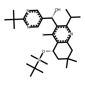 CC(C)c1nc2c(c(I)c1[C@@H](O)c1cnc(C(C)(C)C)nc1)[C@@H](O[Si](C)(C)C(C)(C)C)CC(C)(C)C2